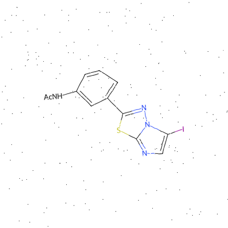 CC(=O)Nc1cccc(-c2nn3c(I)cnc3s2)c1